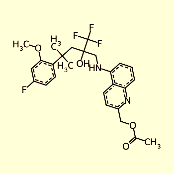 COc1cc(F)ccc1C(C)(C)CC(O)(CNc1cccc2nc(COC(C)=O)ccc12)C(F)(F)F